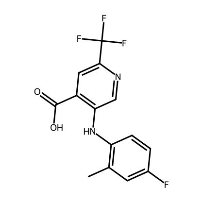 Cc1cc(F)ccc1Nc1cnc(C(F)(F)F)cc1C(=O)O